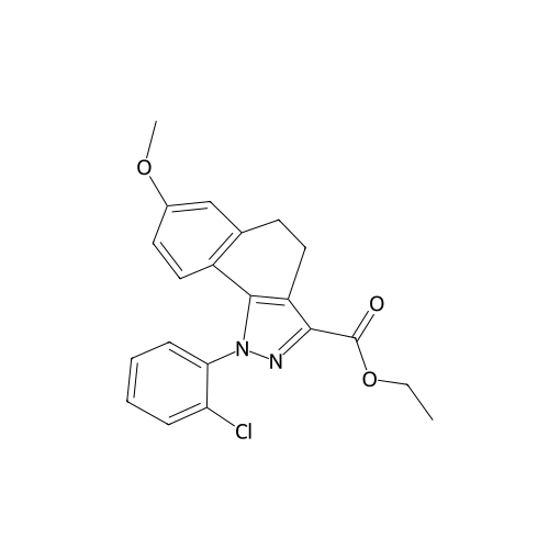 CCOC(=O)c1nn(-c2ccccc2Cl)c2c1CCc1cc(OC)ccc1-2